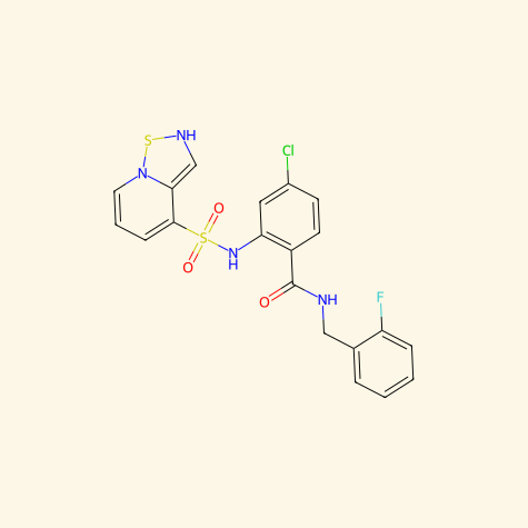 O=C(NCc1ccccc1F)c1ccc(Cl)cc1NS(=O)(=O)C1=CC=CN2SNC=C12